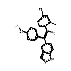 CC/C(=C(/c1ccc(OC(C)C)cc1)c1ccc2[nH]ncc2c1)c1ccc(Cl)cc1F